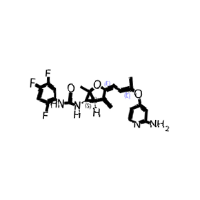 C=C1/C(=C\C=C(/C)Oc2ccnc(N)c2)OC2(C)[C@@H](NC(=O)Nc3cc(F)c(F)cc3F)[C@H]12